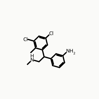 CNCC(c1cccc(N)c1)c1cc(Cl)cc(Cl)c1C